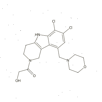 O=C(CO)N1CCc2[nH]c3c(Cl)c(Cl)cc(CN4CCOCC4)c3c2C1